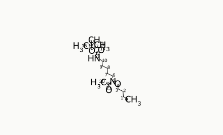 CCCCON(CCCCCNC(=O)OC(C)(C)C)C(C)=O